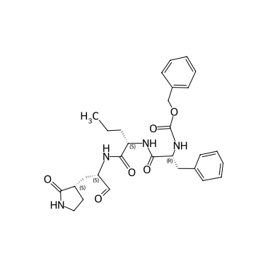 CCC[C@H](NC(=O)[C@@H](Cc1ccccc1)NC(=O)OCc1ccccc1)C(=O)N[C@H](C=O)C[C@@H]1CCNC1=O